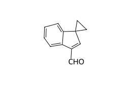 O=CC1=CC2(CC2)c2ccccc21